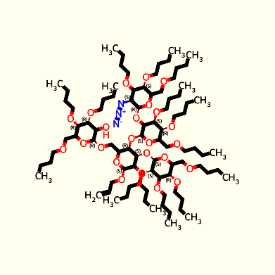 C=CCO[C@H]1OC(CO[C@@H]2OC(COCCCC)[C@@H](OCCCC)[C@H](OCCCC)C2O)[C@@H](O[C@@H]2OC(COCCCC)[C@@H](OCCCC)[C@H](OCCCC)C2O[C@H]2OC(COCCCC)[C@@H](OCCCC)C(OCCCC)[C@@H]2N=[N+]=[N-])[C@H](O[C@@H]2OC(COCCCC)[C@@H](OCCCC)C(OCCCC)[C@@H]2OCCCC)C1OCCCC